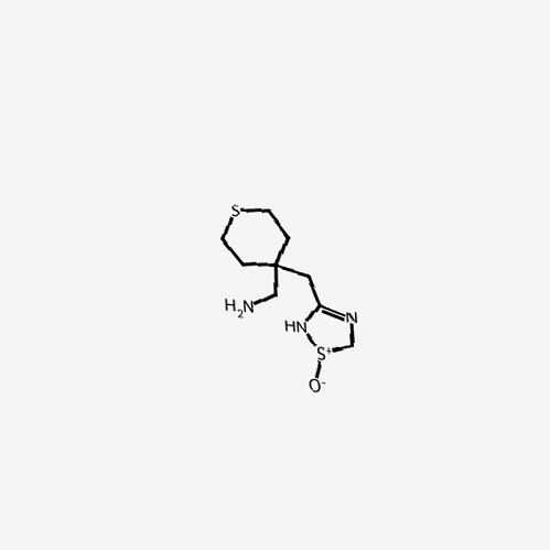 NCC1(CC2=NC[S+]([O-])N2)CCSCC1